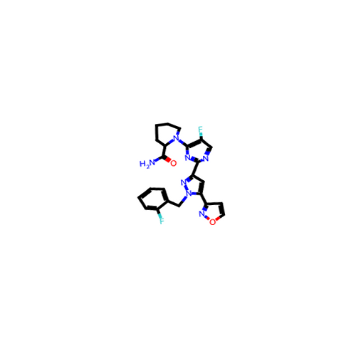 NC(=O)C1CCCCN1c1nc(-c2cc(-c3ccon3)n(Cc3ccccc3F)n2)ncc1F